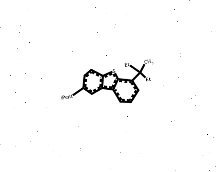 CCCC(C)c1ccc2sc3c(C(C)(CC)CC)cccc3c2c1